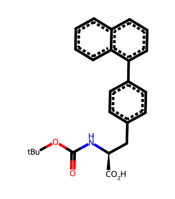 CC(C)(C)OC(=O)N[C@@H](Cc1ccc(-c2cccc3ccccc23)cc1)C(=O)O